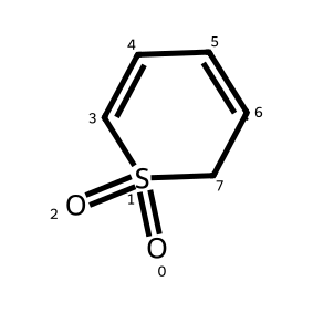 O=S1(=O)C=CC=[C]C1